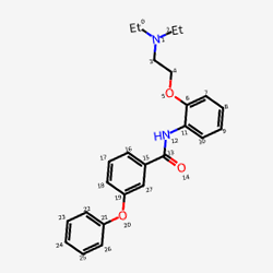 CCN(CC)CCOc1ccccc1NC(=O)c1cccc(Oc2ccccc2)c1